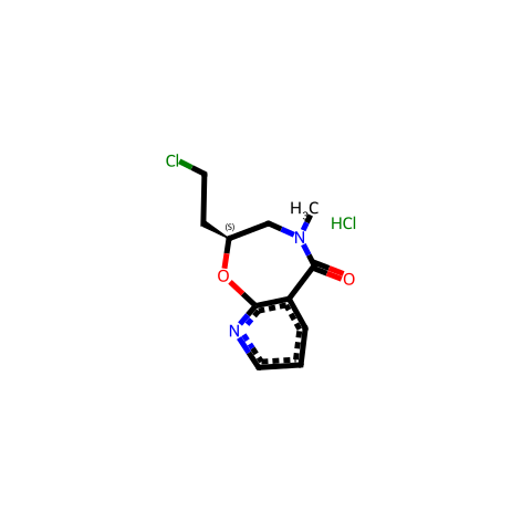 CN1C[C@H](CCCl)Oc2ncccc2C1=O.Cl